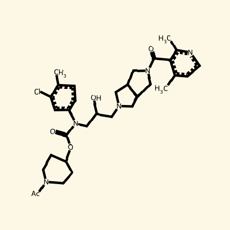 CC(=O)N1CCC(OC(=O)N(CC(O)CN2CC3CN(C(=O)c4c(C)ccnc4C)CC3C2)c2ccc(C)c(Cl)c2)CC1